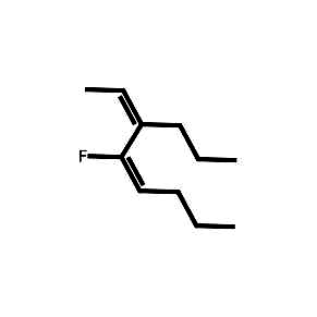 C/C=C(CCC)\C(F)=C/CCC